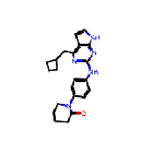 O=C1CCCCN1c1ccc(Nc2nc(CC3CCC3)c3cc[nH]c3n2)cc1